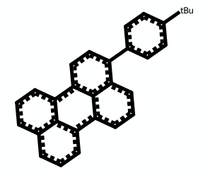 CC(C)(C)c1ccc(-c2ccc3c4cccc5cccc(c6cccc2c63)c54)cc1